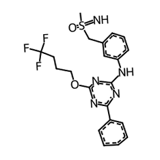 CS(=N)(=O)Cc1cccc(Nc2nc(OCCCC(F)(F)F)nc(-c3ccccc3)n2)c1